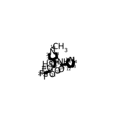 CCN1CCC(S)([C@@H](NC(=O)c2cccnc2)C(=O)OC(=O)C(F)(F)F)CC1